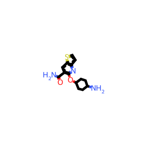 NC(=O)c1cc2sccc2nc1OC1CCC(N)CC1